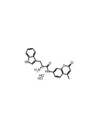 Cc1cc(=O)oc2cc(NC(=O)[C@@H](N)Cc3c[nH]c4ccccc34)ccc12.Cl.Cl